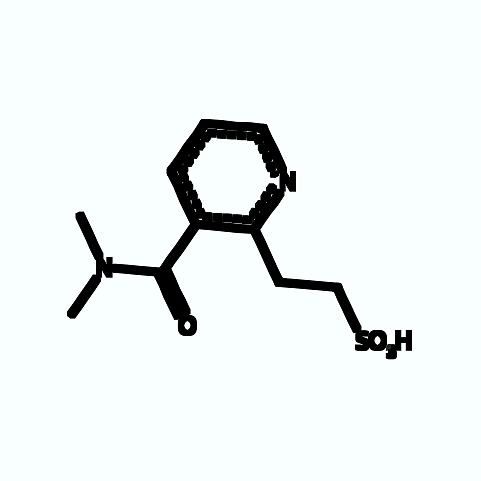 CN(C)C(=O)c1cccnc1CCS(=O)(=O)O